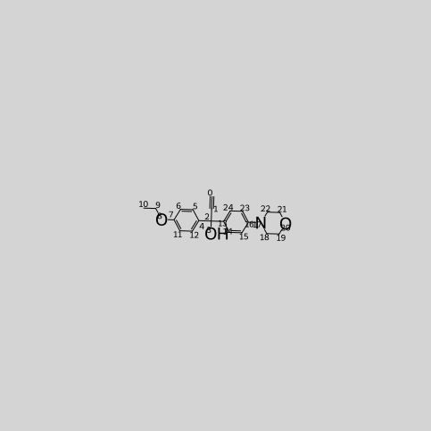 C#CC(O)(c1ccc(OCC)cc1)c1ccc(N2CCOCC2)cc1